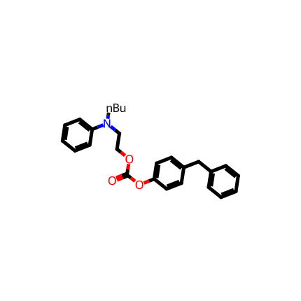 CCCCN(CCOC(=O)Oc1ccc(Cc2ccccc2)cc1)c1ccccc1